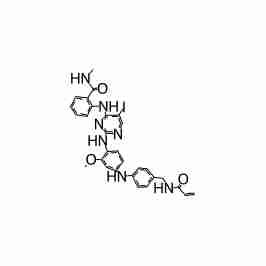 C=CC(=O)NCc1ccc(Nc2ccc(Nc3ncc(I)c(Nc4ccccc4C(=O)NC)n3)c(OC)c2)cc1